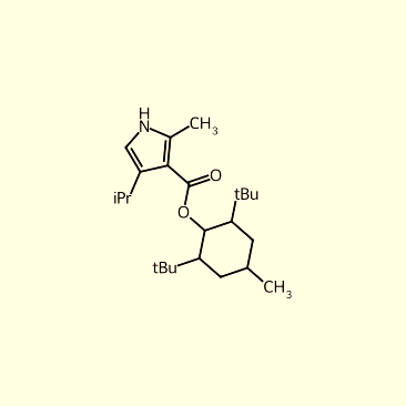 Cc1[nH]cc(C(C)C)c1C(=O)OC1C(C(C)(C)C)CC(C)CC1C(C)(C)C